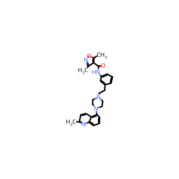 Cc1ccc2c(N3CCN(CCc4cccc(NC(=O)c5c(C)noc5C)c4)CC3)cccc2n1